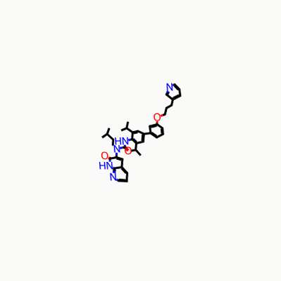 CC(C)CCN(C(=O)Nc1c(C(C)C)cc(-c2cccc(OCCCc3cccnc3)c2)cc1C(C)C)c1cc2cccnc2[nH]c1=O